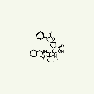 CC(C)(C)C(NC(=O)CC1CCCCC1)C(=O)N1C[C@]2(C[C@H]1C(=O)O)CN(c1ccccc1)C(=O)O2